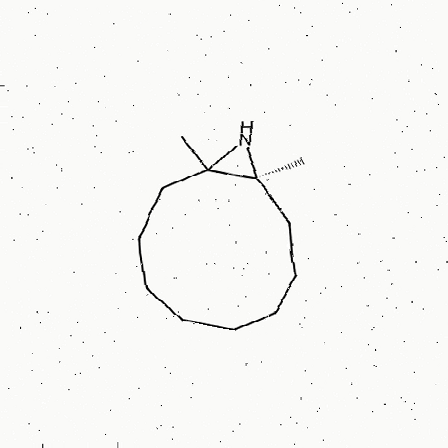 CC12CCCCCCCC[C@]1(C)N2